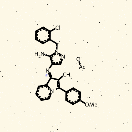 CC(=O)[O-].COc1ccc(C2=C(C)/C(=N\c3cnn(Cc4ccccc4Cl)c3N)c3cccc[n+]32)cc1